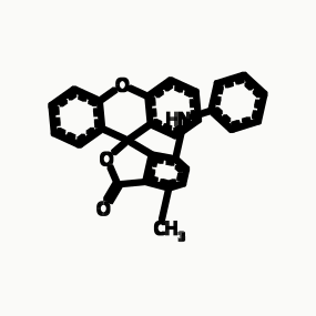 Cc1ccc(Nc2ccccc2)c2c1C(=O)OC21c2ccccc2Oc2ccccc21